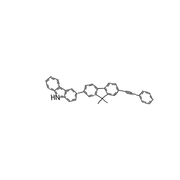 CC1(C)c2cc(C#Cc3ccccc3)ccc2-c2ccc(-c3ccc4[nH]c5ccccc5c4c3)cc21